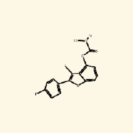 CCN(CC)C(=O)Oc1cccc2sc(-c3ccc(F)cc3)c(I)c12